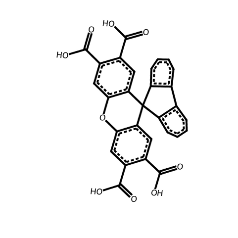 O=C(O)c1cc2c(cc1C(=O)O)C1(c3cc(C(=O)O)c(C(=O)O)cc3O2)c2ccccc2-c2ccccc21